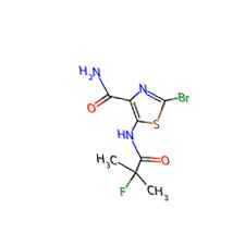 CC(C)(F)C(=O)Nc1sc(Br)nc1C(N)=O